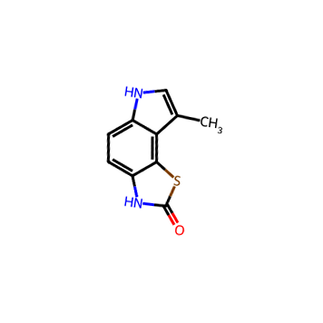 Cc1c[nH]c2ccc3[nH]c(=O)sc3c12